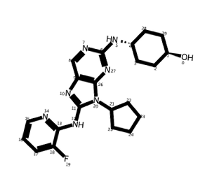 O[C@H]1CC[C@H](Nc2ncc3nc(Nc4ncccc4F)n(C4CCCC4)c3n2)CC1